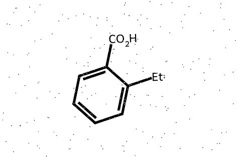 C[C]c1ccccc1C(=O)O